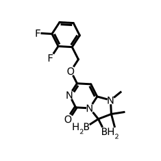 BC1(B)n2c(cc(OCc3cccc(F)c3F)nc2=O)N(C)C1(C)C